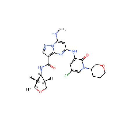 CNc1cc(Nc2cc(Cl)cn(C3CCCOC3)c2=O)nc2c(C(=O)N[C@@]34[C@@H]5[C@H]3CO[C@@H]54)cnn12